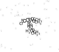 CC(C)(C)OC(=O)CNCc1[nH]c2c(ccc3cnc(Cl)cc32)c1C(=O)OC(C)(C)C